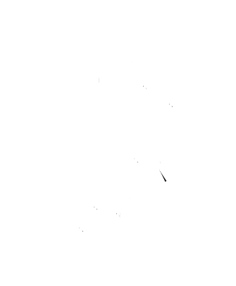 CC(O)c1cccc(NCC[C@@H](C)NC(=O)c2ccccc2-n2nccn2)n1